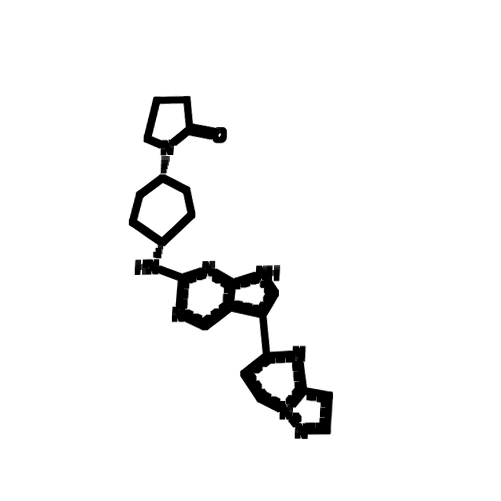 O=C1CCCN1[C@H]1CC[C@@H](Nc2ncc3c(-c4ccn5nccc5n4)c[nH]c3n2)CC1